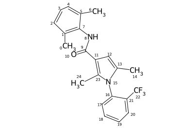 Cc1cccc(C)c1NC(=O)c1cc(C)n(-c2ccccc2C(F)(F)F)c1C